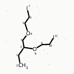 CCC(COCCI)OCCI